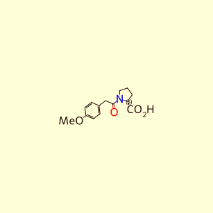 COc1ccc(CC(=O)N2CCC[C@H]2C(=O)O)cc1